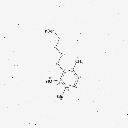 CCCCCCCCCCCCSCc1c(C)ccc(C(C)(C)C)c1O